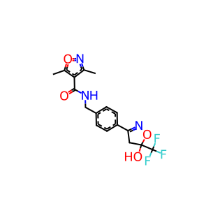 Cc1noc(C)c1C(=O)NCc1ccc(C2=NOC(O)(C(F)(F)F)C2)cc1